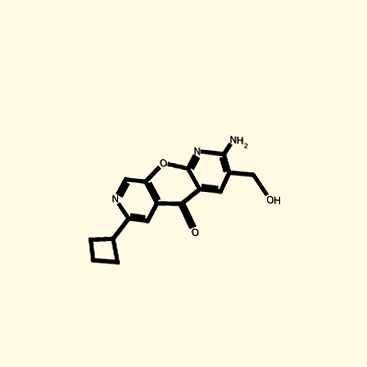 Nc1nc2oc3cnc(C4CCC4)cc3c(=O)c2cc1CO